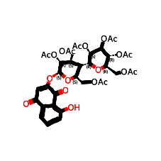 CC(=O)OC[C@H]1O[C@@H](OC2=CC(=O)c3cccc(O)c3C2=O)[C@H](OC(C)=O)[C@@H](OC(C)=O)C1[C@H]1O[C@H](COC(C)=O)[C@@H](OC(C)=O)C(OC(C)=O)[C@H]1OC(C)=O